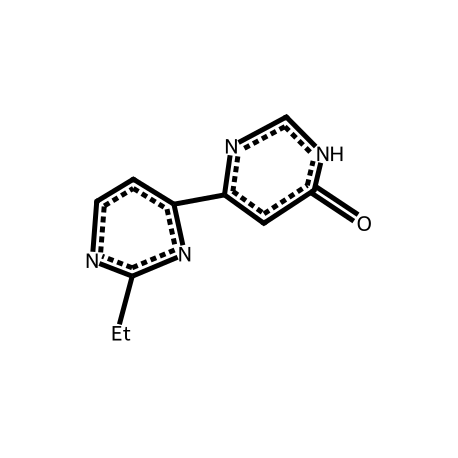 CCc1nccc(-c2cc(=O)[nH]cn2)n1